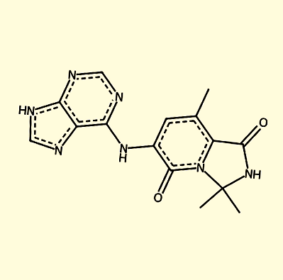 Cc1cc(Nc2ncnc3[nH]cnc23)c(=O)n2c1C(=O)NC2(C)C